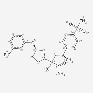 C[C@@H](CC(C)(C(N)=O)N1CC[C@@H](Oc2cccc(C(F)(F)F)c2)C1)c1ccc(S(C)(=O)=O)cc1